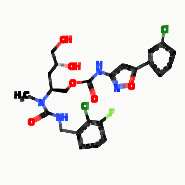 CN(C(=O)NCc1cccc(F)c1Cl)[C@H](COC(=O)Nc1cc(-c2cccc(Cl)c2)on1)C[C@@H](O)CO